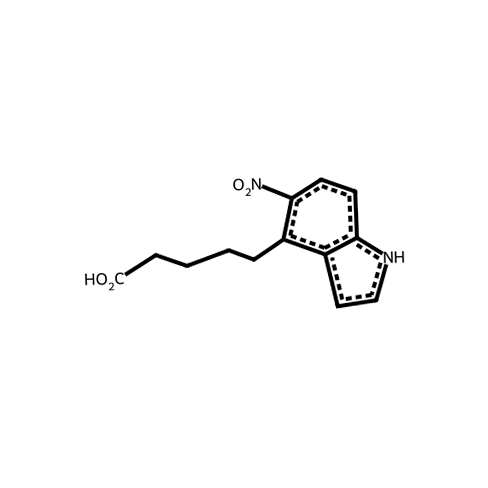 O=C(O)CCCCc1c([N+](=O)[O-])ccc2[nH]ccc12